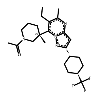 CCc1c(C)nc2cc([C@H]3CC[C@H](C(F)(F)F)CC3)nn2c1[C@@]1(C)CCCN(C(C)=O)C1